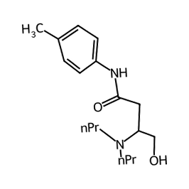 CCCN(CCC)C(CO)CC(=O)Nc1ccc(C)cc1